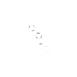 CCCCCCCCCCc1cnc(-c2ccc(OC(=O)C3CCC(CCC)CC3)c(F)c2)nc1